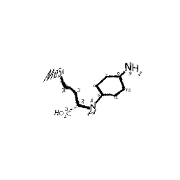 CSCC[C@H](NC1CCC(N)CC1)C(=O)O